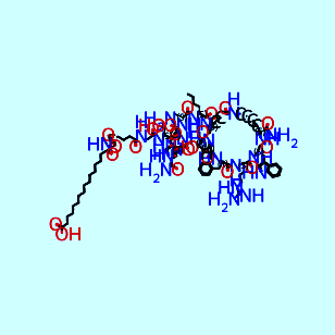 CCCC[C@H](NC(=O)[C@H](CN)NC(=O)[C@H](Cc1c[nH]cn1)NC(=O)[C@H](CCC(N)=O)NC(=O)[C@H](CO)NC(=O)CNC(=O)CCCS(=O)(=O)NC(=O)CCCCCCCCCCCCCCC(=O)O)C(=O)N[C@H]1CCC(=O)NCCCC[C@@H](C(N)=O)NC(=O)[C@H](Cc2c[nH]c3ccccc23)NC(=O)[C@H](CCCNC(=N)N)NC(=O)[C@@H](Cc2ccccc2)NC(=O)[C@@H]2C[C@@H](O)CN2C1=O